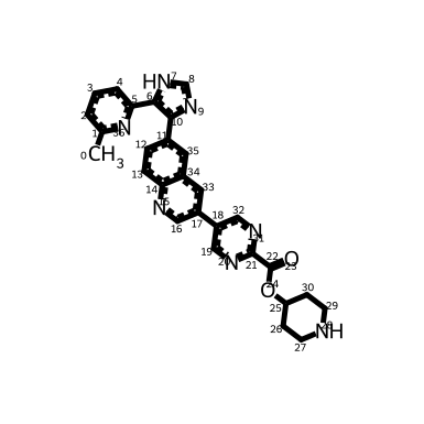 Cc1cccc(-c2[nH]cnc2-c2ccc3ncc(-c4cnc(C(=O)OC5CCNCC5)nc4)cc3c2)n1